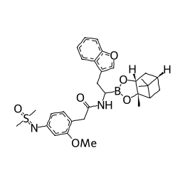 COc1cc(N=S(C)(C)=O)ccc1CC(=O)NC(Cc1coc2ccccc12)B1O[C@@H]2C[C@@H]3CC(C3(C)C)[C@]2(C)O1